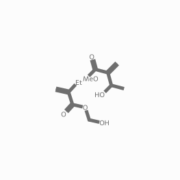 C=C(C(=O)OC)C(C)O.C=C(CC)C(=O)OCO